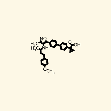 COc1ccc(CCC(C)Nc2c(C)noc2-c2ccc(-c3ccc(C4(C(=O)O)CC4)cc3)cc2)cc1